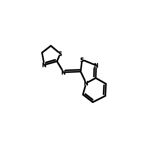 c1ccn2c(=NC3=NCCS3)snc2c1